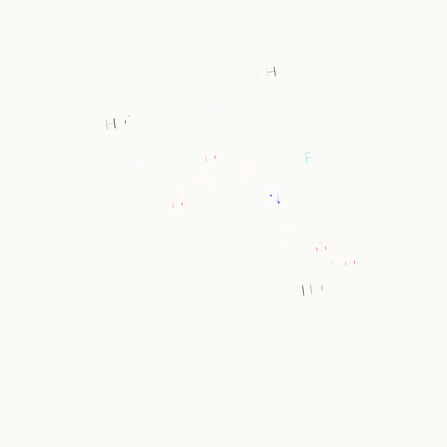 CC/C=C\CC(=O)OCC(CNC(=O)c1cc(-c2ccc(F)cc2F)ccc1OC(C)=O)OC(=O)C/C=C\CC